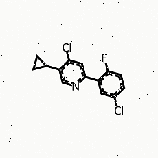 Fc1ccc(Cl)cc1-c1cc(Cl)c(C2CC2)cn1